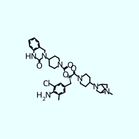 Cc1cc(C[C@@H](OC(=O)N2CCC(N3Cc4ccccc4NC3=O)CC2)C(=O)N2CCC(N3CC4CC3CN4C)CC2)cc(Cl)c1N